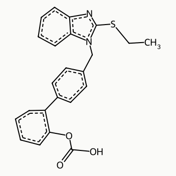 CCSc1nc2ccccc2n1Cc1ccc(-c2ccccc2OC(=O)O)cc1